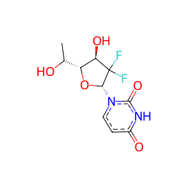 CC(O)[C@H]1O[C@@H](n2ccc(=O)[nH]c2=O)C(F)(F)[C@@H]1O